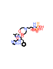 CC(C)C[C@@H](NC(=O)[C@@H](Cc1ccccc1)NC(=O)c1cnccn1)B1OCCCN(CCCC(=O)NC(PO)P(=O)(O)O)CCCO1